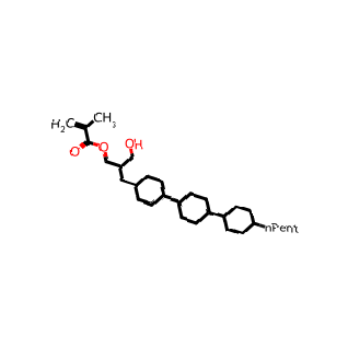 C=C(C)C(=O)OCC(CO)CC1CCC(C2CCC(C3CCC(CCCCC)CC3)CC2)CC1